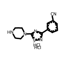 Cl.Cl.N#Cc1cccc(-c2nsc(N3CCNCC3)n2)c1